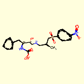 CC(CNC[C@@H](O)[C@H](Cc1ccccc1)NC(=O)O)CS(=O)(=O)c1ccc([N+](=O)[O-])cc1